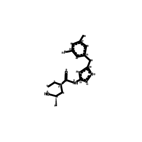 CCN(C[C@H](C)O)C(=O)Nc1nnc(Cc2cc(C)cc(F)c2)s1